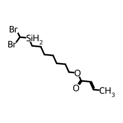 CC=CC(=O)OCCCCCCC[SiH2]C(Br)Br